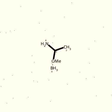 B.COC(C)N